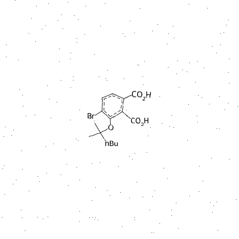 CCCCC(C)(C)Oc1c(Br)ccc(C(=O)O)c1C(=O)O